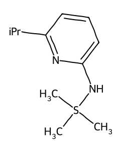 CC(C)c1cccc(NS(C)(C)C)n1